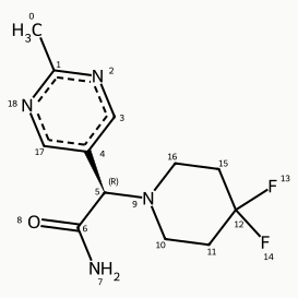 Cc1ncc([C@H](C(N)=O)N2CCC(F)(F)CC2)cn1